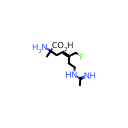 CC(=N)NCC/C(=C\C[C@](C)(N)C(=O)O)CF